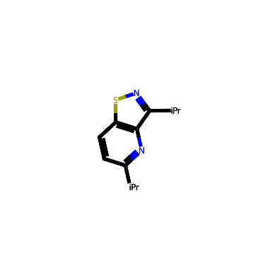 CC(C)c1ccc2snc(C(C)C)c2n1